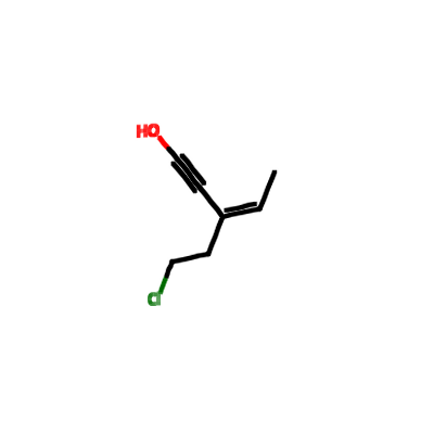 CC=C(C#CO)CCCl